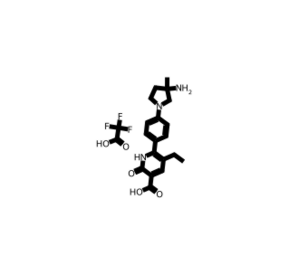 CCc1cc(C(=O)O)c(=O)[nH]c1-c1ccc(N2CCC(C)(N)C2)cc1.O=C(O)C(F)(F)F